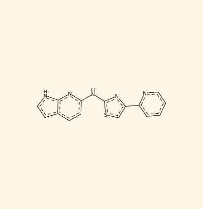 c1ccc(-c2csc(Nc3ccc4cc[nH]c4n3)n2)nc1